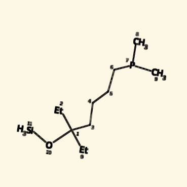 CCC(CC)(CCCCP(C)C)O[SiH3]